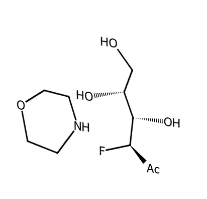 C1COCCN1.CC(=O)[C@@H](F)[C@@H](O)[C@H](O)CO